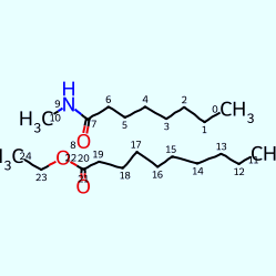 CCCCCCCC(=O)NC.CCCCCCCCCC(=O)OCC